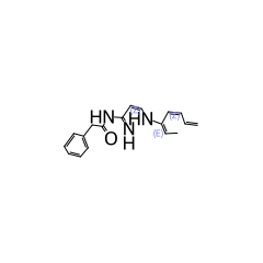 C=C/C=C\C(=C/C)N/C=C\C(=N)NC(=O)Cc1ccccc1